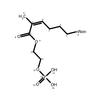 CCCCCCCCCCCCC=C(C)C(=O)OCCOP(=O)(O)O